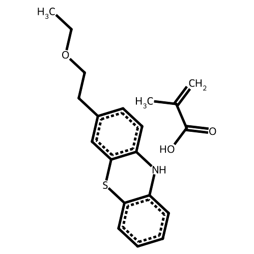 C=C(C)C(=O)O.CCOCCc1ccc2c(c1)Sc1ccccc1N2